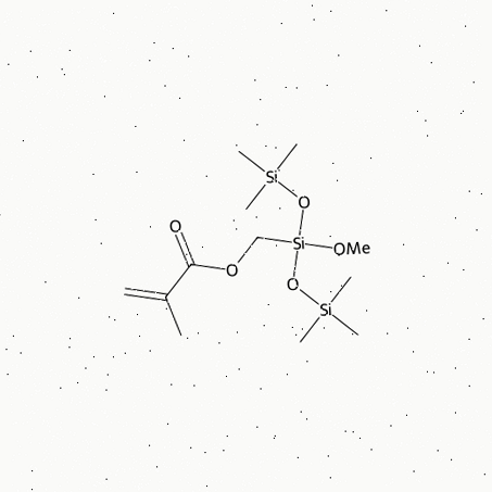 C=C(C)C(=O)OC[Si](OC)(O[Si](C)(C)C)O[Si](C)(C)C